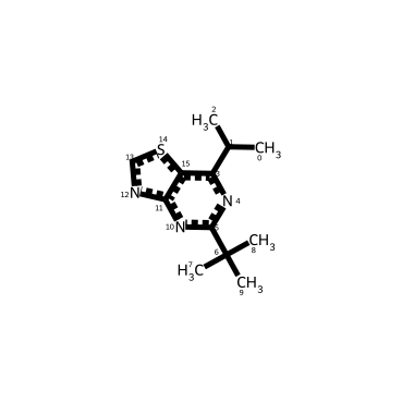 CC(C)c1nc(C(C)(C)C)nc2ncsc12